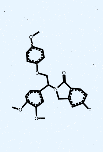 COc1ccc(OCC(c2ccc(OC)c(OC)c2)N2Cc3cc(F)ccc3C2=O)cc1